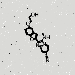 CNc1c(-c2cc3cc(OCCO)ccc3o2)nc2cc(C#N)ccn12